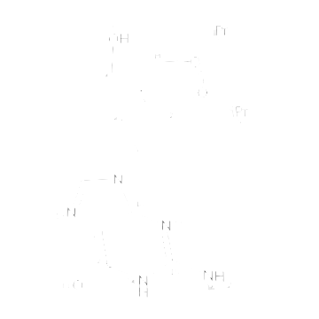 CC(C)OCC(CO)(CCn1cnc2c(=O)[nH]c(N)nc21)COC(C)C